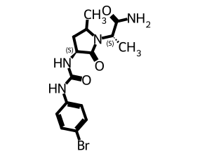 CC1C[C@H](NC(=O)Nc2ccc(Br)cc2)C(=O)N1[C@@H](C)C(N)=O